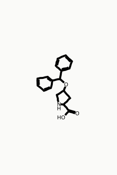 O=C(O)C1CC(OC(c2ccccc2)c2ccccc2)CN1